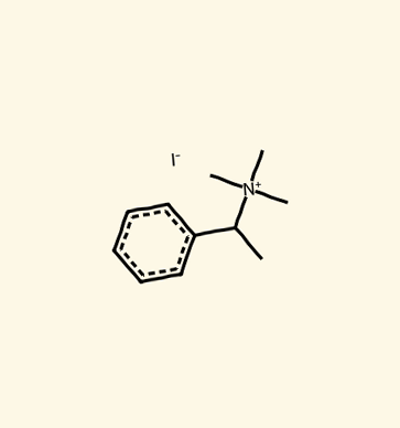 CC(c1ccccc1)[N+](C)(C)C.[I-]